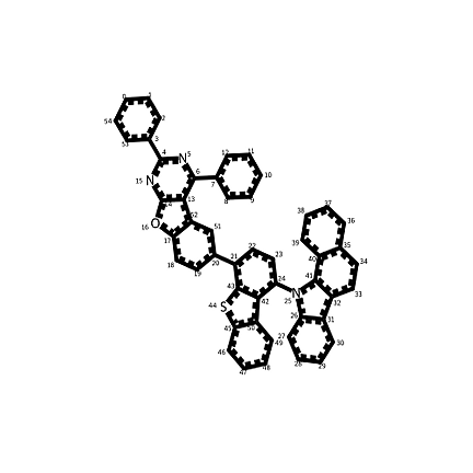 c1ccc(-c2nc(-c3ccccc3)c3c(n2)oc2ccc(-c4ccc(-n5c6ccccc6c6ccc7ccccc7c65)c5c4sc4ccccc45)cc23)cc1